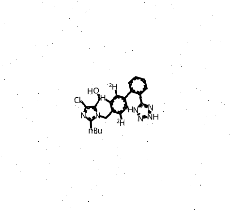 [2H]c1c([2H])c(-c2ccccc2-c2nn[nH]n2)c([2H])c([2H])c1Cn1c(CCCC)nc(Cl)c1CO